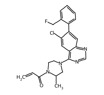 C=CC(=O)N1CCN(c2ncnc3cc(-c4ccccc4CF)c(Cl)cc23)CC1C